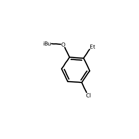 CCc1cc(Cl)ccc1OC(C)CC